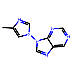 Cc1cn(-n2cnc3cncnc32)cn1